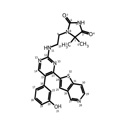 CC1(C)C(=O)NC(=O)N1CCNc1ncc(-c2cccc(O)c2)c(-c2cc3cnccc3s2)n1